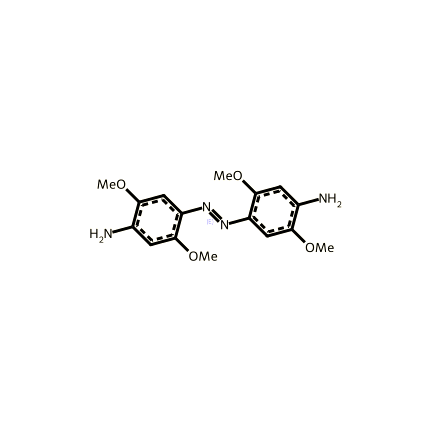 COc1cc(/N=N/c2cc(OC)c(N)cc2OC)c(OC)cc1N